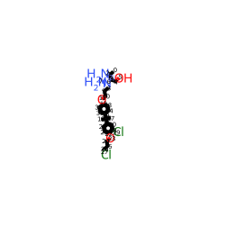 C/C(N)=C(\CO)N(N)CCCOc1ccc(C(C)(C)c2ccc(OCCCCl)c(Cl)c2)cc1